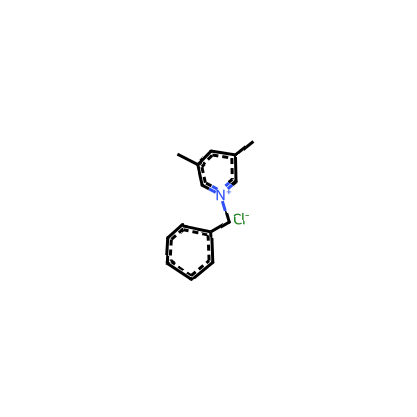 Cc1cc(C)c[n+](Cc2ccccc2)c1.[Cl-]